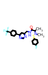 CC(C(=O)NCc1cc(-c2ccc(C(F)(F)F)cc2)ncn1)N(C)Sc1ccc(F)cc1